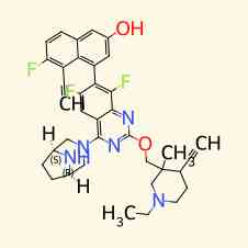 C#Cc1c(F)ccc2cc(O)cc(-c3c(F)cc4c(N5C[C@H]6CC[C@@H](C5)N6)nc(OCC5(C)CN(CC)CCC5C#C)nc4c3F)c12